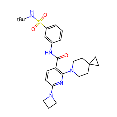 CC(C)(C)NS(=O)(=O)c1cccc(NC(=O)c2ccc(N3CCC3)nc2N2CCC3(CC2)CC3)c1